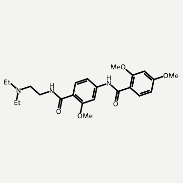 CCN(CC)CCNC(=O)c1ccc(NC(=O)c2ccc(OC)cc2OC)cc1OC